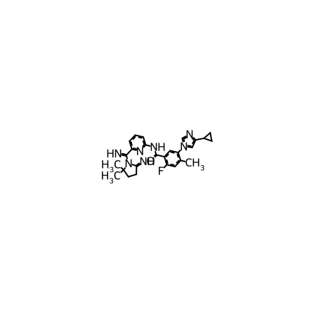 Cc1cc(F)c(C(=O)Nc2cccc(C(=N)N3C(=N)CCC3(C)C)n2)cc1-n1cnc(C2CC2)c1